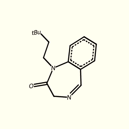 CC(C)(C)CCN1C(=O)CN=Cc2ccccc21